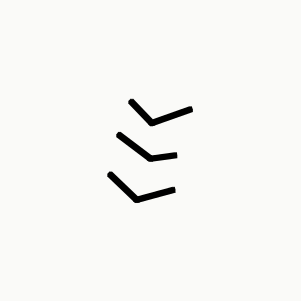 CCC.CCC.CCC